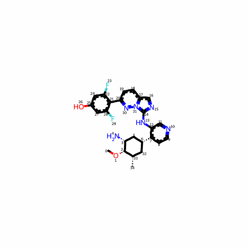 CO[C@@H]1[C@H](N)C[C@H](c2ccncc2Nc2ncc3ccc(-c4c(F)cc(O)cc4F)nn23)C[C@@H]1C